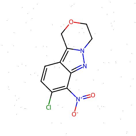 O=[N+]([O-])c1c(Cl)ccc2c3n(nc12)CCOC3